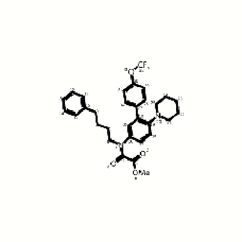 COC(=O)C(=O)N(CCCCc1ccccc1)c1ccc(N2CCCCC2)c(-c2ccc(OC(F)(F)F)cc2)c1